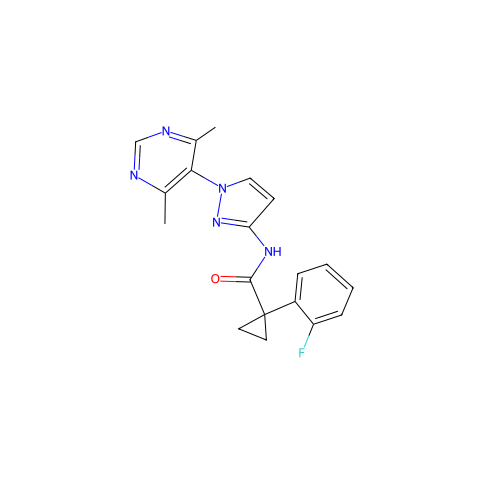 Cc1ncnc(C)c1-n1ccc(NC(=O)C2(c3ccccc3F)CC2)n1